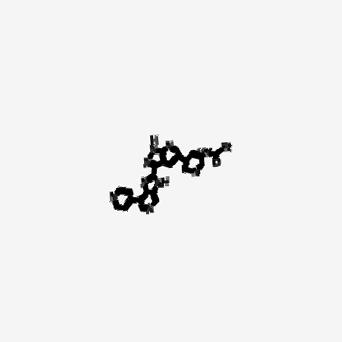 CCC(=O)Nc1cncc(-c2cnc3[nH]nc(-c4nc5c(-c6ccncc6)cncc5[nH]4)c3c2)c1